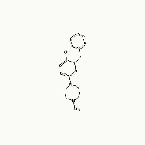 CN1CCN(C(=O)O[C@@H](Cc2ccccc2)C(=O)O)CC1